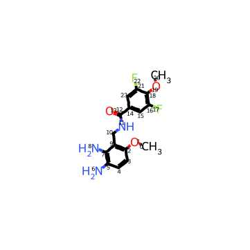 COc1ccc(N)c(N)c1CNC(=O)c1cc(F)c(OC)c(F)c1